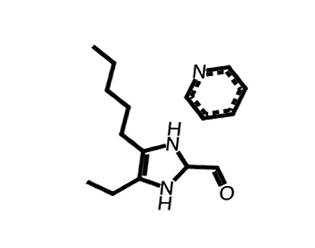 CCCCCC1=C(CC)NC(C=O)N1.c1ccncc1